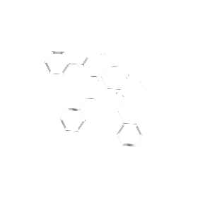 CO[C@@H]1O[C@H](CO)[C@@H](OCc2ccccc2)[C@H](OCc2ccccc2)[C@H]1OC(=O)c1ccccc1